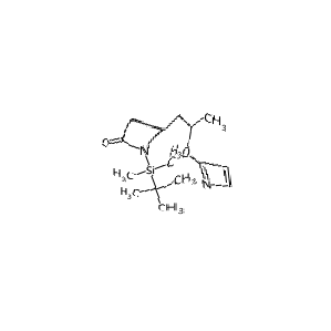 CC(CC1CC(=O)N1[Si](C)(C)C(C)(C)C)OC1=NC=C1